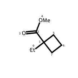 C[CH]C1(C(=O)OC)CCC1